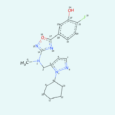 CN(Cc1ccnn1C1CCCCC1)c1noc(-c2ccc(F)c(O)c2)n1